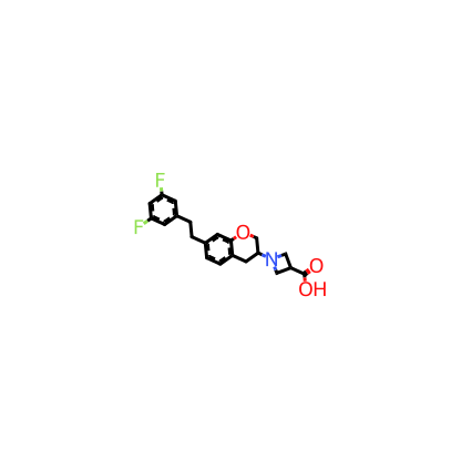 O=C(O)C1CN(C2COc3cc(CCc4cc(F)cc(F)c4)ccc3C2)C1